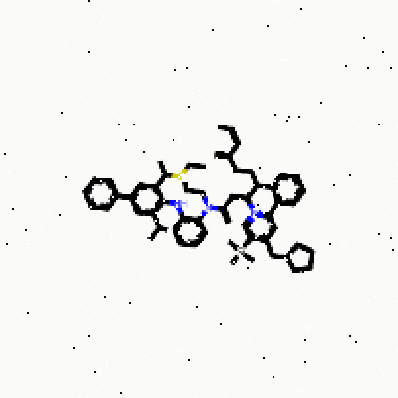 C=C(/C=C\C)CCC1c2ccccc2-c2cc(CC3CCCC3)c([Si](C)(C)C)c[n+]2C1CC(=C)N(CCC)c1ccccc1Nc1c(C(C)C)cc(-c2ccccc2)cc1C(C)SCC